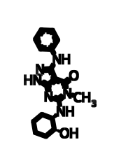 Cn1c(N[C@@H]2CCCC[C@H]2O)nc2[nH]nc(Nc3ccccc3)c2c1=O